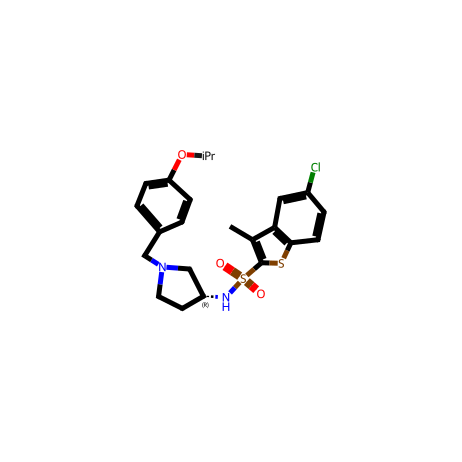 Cc1c(S(=O)(=O)N[C@@H]2CCN(Cc3ccc(OC(C)C)cc3)C2)sc2ccc(Cl)cc12